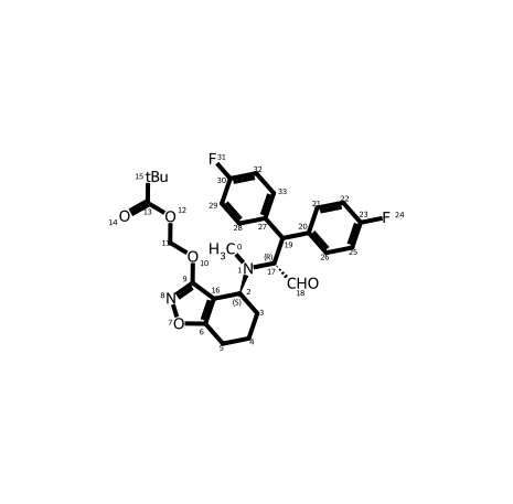 CN([C@H]1CCCc2onc(OCOC(=O)C(C)(C)C)c21)[C@@H](C=O)C(c1ccc(F)cc1)c1ccc(F)cc1